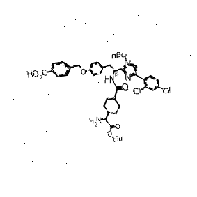 CCCCn1cc(-c2ccc(Cl)cc2Cl)nc1[C@H](Cc1ccc(OCc2ccc(C(=O)O)cc2)cc1)NC(=O)C1CCC(C(N)C(=O)OC(C)(C)C)CC1